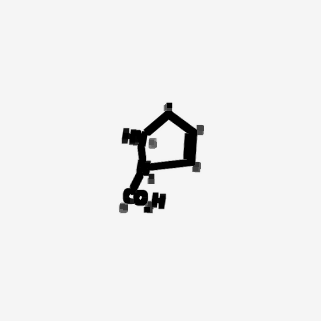 O=C(O)N1C=CCN1